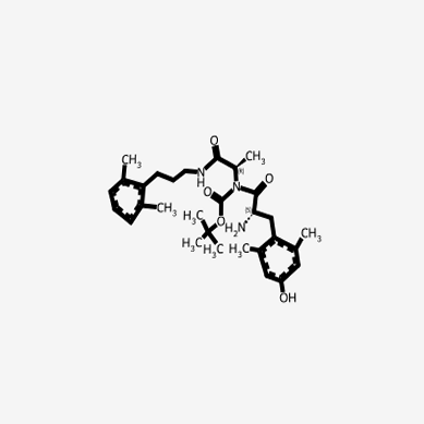 Cc1cccc(C)c1CCCNC(=O)[C@@H](C)N(C(=O)OC(C)(C)C)C(=O)[C@@H](N)Cc1c(C)cc(O)cc1C